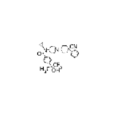 CC(O)(c1ccc(C(=O)N(C2CC2)C2CCN(C3CCC(C#N)(c4ccccc4)CC3)CC2)cc1)C(F)(F)F